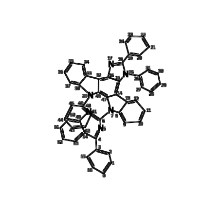 c1ccc(-c2nc(-n3c4ccccc4c4c5c(nc(-c6ccccc6)n5-c5ccccc5)c5c6ccccc6n(-c6ccccc6)c5c43)nc3ccccc23)cc1